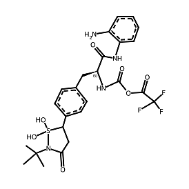 CC(C)(C)N1C(=O)CC(c2ccc(C[C@H](NC(=O)OC(=O)C(F)(F)F)C(=O)Nc3ccccc3N)cc2)S1(O)O